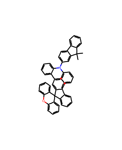 CC1(C)c2ccccc2-c2ccc(N(c3ccccc3)c3ccccc3-c3ccc4c(c3)C3(c5ccccc5Oc5ccccc53)c3ccccc3-4)cc21